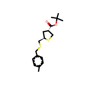 Cc1ccc(CSC[C@H]2C[C@H](C(=O)OC(C)(C)C)CS2)cc1